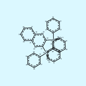 O=P(c1ccccc1)(c1ccccc1)c1nc2ccccc2nc1P(=O)(c1ccccc1)c1ccccc1